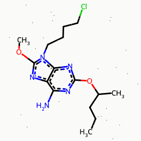 CCCC(C)Oc1nc(N)c2nc(OC)n(CCCCCl)c2n1